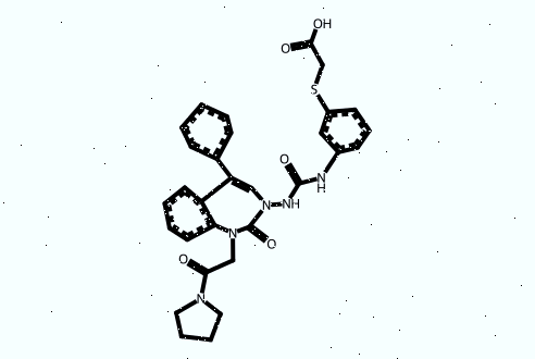 O=C(O)CSc1cccc(NC(=O)NN2C=C(c3ccccc3)c3ccccc3N(CC(=O)N3CCCC3)C2=O)c1